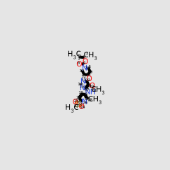 CCC(C)OC(=O)N1CCC(Oc2ncnc(Nc3ccc(S(C)(=O)=O)nc3C)c2OC)CC1